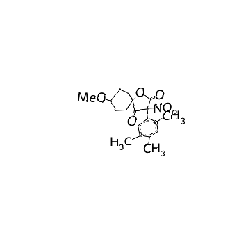 COC1CCC2(CC1)OC(=O)C(c1cc(C)c(C)cc1C)([N+](=O)[O-])C2=O